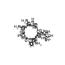 CC(C)C[C@@H]1NC(=O)[C@@H](Cc2ccccc2)NC(=O)[C@H](CCN)NC(=O)[C@@H](NC(=O)[C@@H](CO)NC(=O)[C@@H](NC(C)C)[C@@H](C)O)CCNC(=O)[C@H]([C@@H](C)O)NC(=O)[C@H](CCN)NC(=O)[C@H](CCN)NC1=O